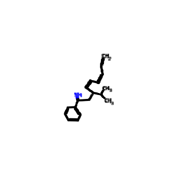 C=C/C=C\C=C/[C@H](CC(=N)c1ccccc1)C(C)C